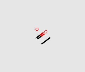 CC.[C]=O.[O]